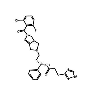 O=C(CCc1nc[nH]n1)N[C@@H](CCN1CC2=CN(C(=O)c3c(F)cccc3Cl)CC2C1)c1ccccc1